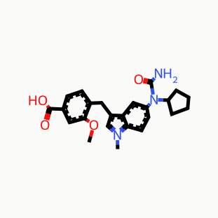 COc1cc(C(=O)O)ccc1Cc1cn(C)c2ccc(N(C(N)=O)C3CCCC3)cc12